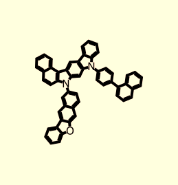 c1ccc2c(-c3ccc(-n4c5ccccc5c5cc6c7c8ccccc8ccc7n(-c7ccc8cc9oc%10ccccc%10c9cc8c7)c6cc54)cc3)cccc2c1